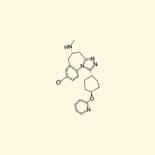 CN[C@H]1Cc2cc(Cl)ccc2-n2c(nnc2[C@H]2CC[C@H](Oc3ccccn3)CC2)C1